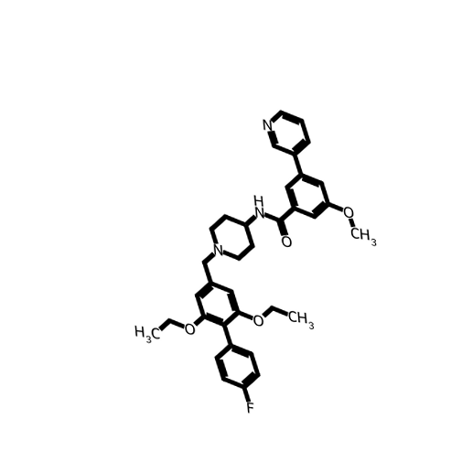 CCOc1cc(CN2CCC(NC(=O)c3cc(OC)cc(-c4cccnc4)c3)CC2)cc(OCC)c1-c1ccc(F)cc1